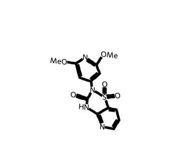 COc1cc(N2C(=O)Nc3ncccc3S2(=O)=O)cc(OC)n1